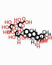 CC1(C)CC2C3=CCC4[C@@]5(C)CC[C@H](O[C@@H]6OC(C(=O)O)[C@@H](O)[C@@H](O[C@@H]7O[C@@H](CO)[C@@H](O)C7O)C6O[C@@H]6OC(CO)[C@H](O)[C@@H](O)C6O)C(C)(C)C5CC[C@@]4(C)[C@]3(C)C[C@@H](O)[C@@]2(CO)[C@@H](O)[C@@H]1O